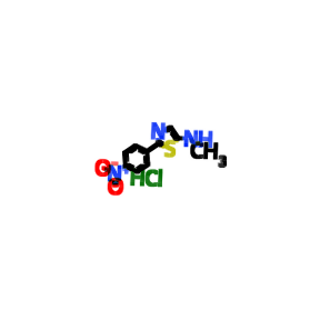 CNc1cnc(-c2ccc([N+](=O)[O-])cc2)s1.Cl